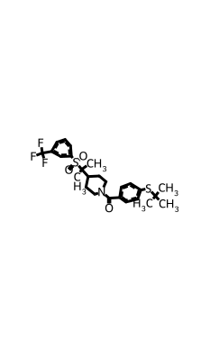 CC(C)(C)Sc1ccc(C(=O)N2CCC(C(C)(C)S(=O)(=O)c3cccc(C(F)(F)F)c3)CC2)cc1